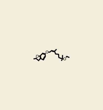 CCOC(C)(C)CCCC(C)=CCOc1ccc2c(c1)OC(C)C2